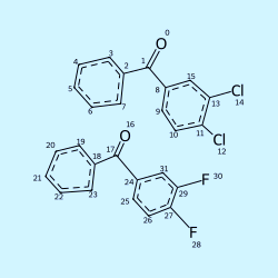 O=C(c1ccccc1)c1ccc(Cl)c(Cl)c1.O=C(c1ccccc1)c1ccc(F)c(F)c1